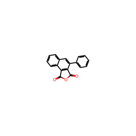 O=C1OC(=O)c2c1c(-c1ccccc1)cc1ccccc21